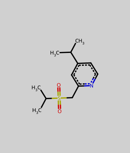 CC(C)c1ccnc(CS(=O)(=O)C(C)C)c1